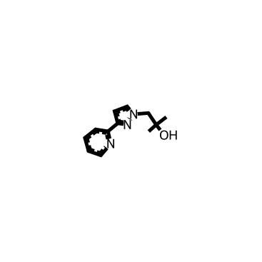 CC(C)(O)Cn1ccc(-c2ccccn2)n1